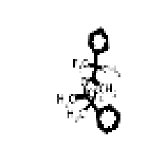 C=C(OC(=C)C(C)(c1ccccc1)C(F)(F)F)C(C)(c1ccccc1)C(F)(F)F